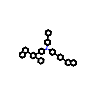 c1ccc(-c2ccc(N(c3ccc(-c4ccc(-c5ccc6ccccc6c5)cc4)cc3)c3ccc(-c4cc(-c5cccc6ccccc56)ccc4-c4ccccc4)cc3)cc2)cc1